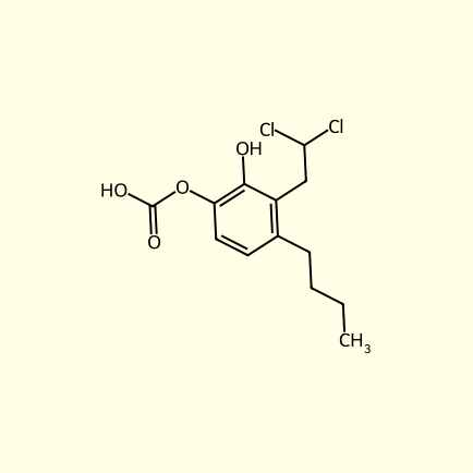 CCCCc1ccc(OC(=O)O)c(O)c1CC(Cl)Cl